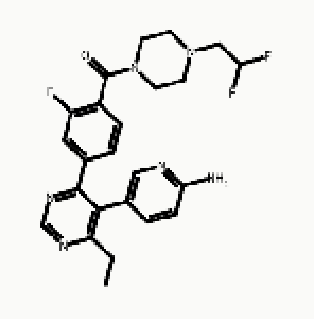 CCc1ncnc(-c2ccc(C(=O)N3CCN(CC(F)F)CC3)c(F)c2)c1-c1ccc(N)nc1